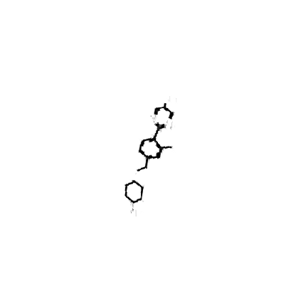 CCCc1cnc(-c2ccc(CC[C@H]3CC[C@H](CCC)CC3)cc2C)nc1